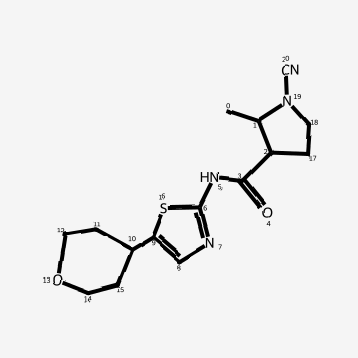 CC1C(C(=O)Nc2ncc(C3CCOCC3)s2)CCN1C#N